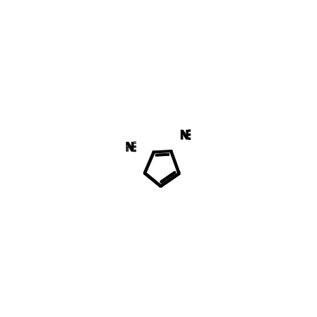 C1=CCC=C1.[N].[N]